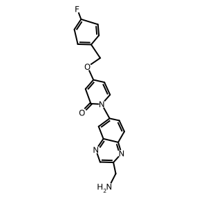 NCc1cnc2cc(-n3ccc(OCc4ccc(F)cc4)cc3=O)ccc2n1